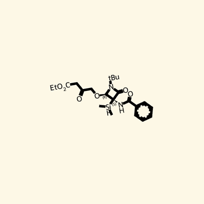 CCOC(=O)CC(=O)CO[C@H]1N(C(C)(C)C)C(=O)[C@@]1(NC(=O)c1ccccc1)[SiH](C)C